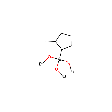 CCO[Si](OCC)(OCC)C1CCCC1C